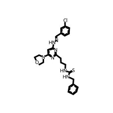 S=C(NCCCc1nc(N/N=C/c2cccc(Cl)c2)cc(N2CCOCC2)n1)NCc1ccccc1